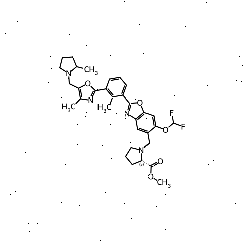 COC(=O)[C@@H]1CCCN1Cc1cc2nc(-c3cccc(-c4nc(C)c(CN5CCCC5C)o4)c3C)oc2cc1OC(F)F